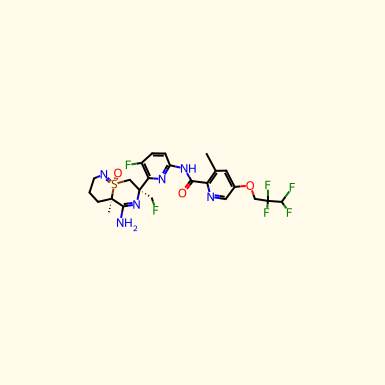 Cc1cc(OCC(F)(F)C(F)F)cnc1C(=O)Nc1ccc(F)c([C@]2(CF)CS3(=O)=NCCC[C@]3(C)C(N)=N2)n1